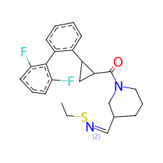 CCS/N=C\C1CCCN(C(=O)C2CC2c2ccccc2-c2c(F)cccc2F)C1